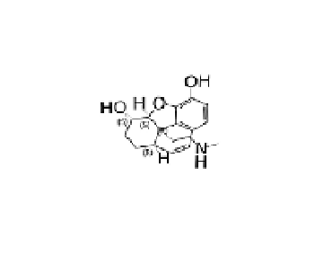 CNCC[C@@]12c3c4ccc(O)c3O[C@@H]1[C@@H](O)CC[C@@H]2C=C4